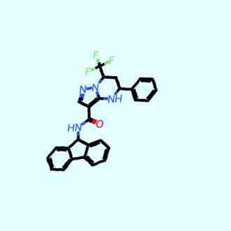 O=C(NC1c2ccccc2-c2ccccc21)c1cnn2c1NC(c1ccccc1)CC2C(F)(F)F